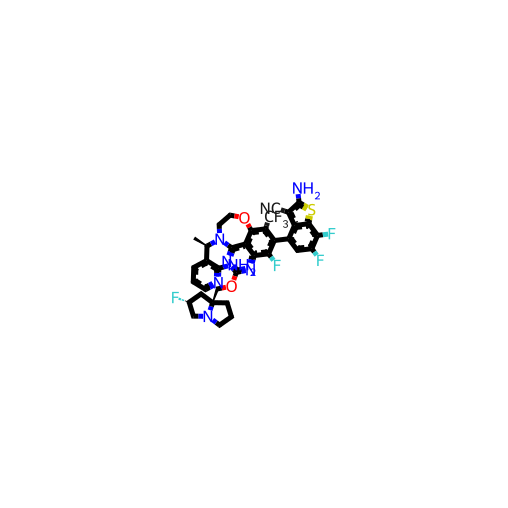 C[C@H](c1cccnc1N)N1CCOc2c(C(F)(F)F)c(-c3cc(F)c(F)c4sc(N)c(C#N)c34)c(F)c3nc(OC[C@@]45CCCN4C[C@H](F)C5)nc1c23